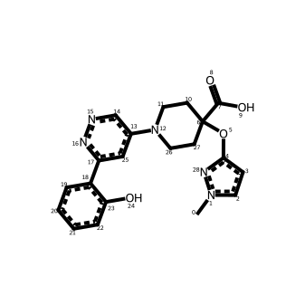 Cn1ccc(OC2(C(=O)O)CCN(c3cnnc(-c4ccccc4O)c3)CC2)n1